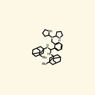 CC(C)(C)C12CC3CC(CC(PC(PC45CC6CC(C4)CC(C(C)(C)C)(C6)C5)c4ccccc4CP(C4CCCN4)C4CCCN4)(C3)C1)C2